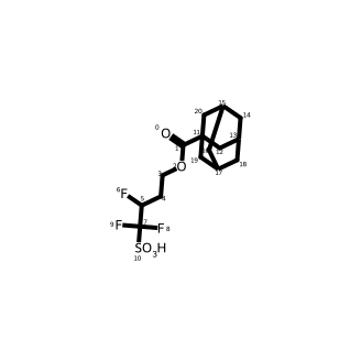 O=C(OCCC(F)C(F)(F)S(=O)(=O)O)C12CC3CC(CC(C3)C1)C2